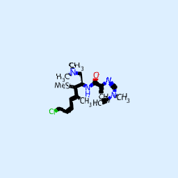 C#CN(C)/C=N\C(=C)C(=O)N[C@H](CN(C)C)C(SC)/C(C)=C/C=C\CCl